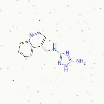 Nc1nc(NCc2ccnc3ccccc23)n[nH]1